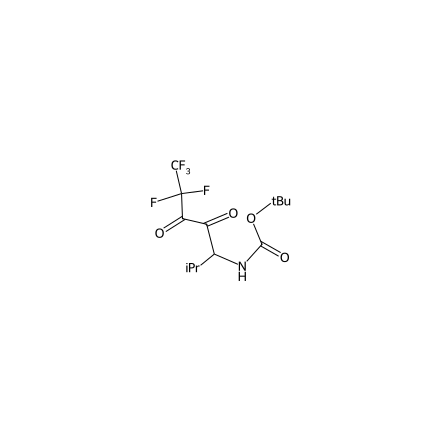 CC(C)C(NC(=O)OC(C)(C)C)C(=O)C(=O)C(F)(F)C(F)(F)F